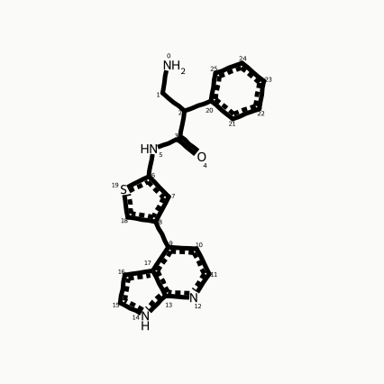 NCC(C(=O)Nc1cc(-c2ccnc3[nH]ccc23)cs1)c1ccccc1